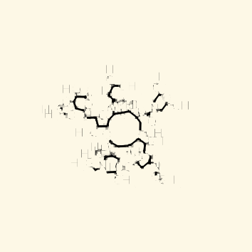 CCN1C[C@H](C)O[C@@H](C[C@H]2[C@H](C)[C@@H]([C@H](C)[C@H]3C/C(=N/OC)C[C@@H](C)O3)[C@@H](C)C[C@H](OC(=O)N3C[C@@H](C)O[C@@H](C)C3)C(=O)[C@H](C)[C@H](OC(=O)CC(C)C)[C@@H](C)[C@@H]([C@@H](C)CC[C@@H]3O[C@H](C)[C@@H](O)[C@@H](OC)[C@H]3OC)OC(O)[C@@H]2C)C[C@H]1C